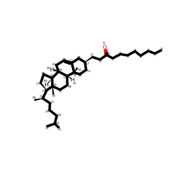 CCCCCCCCC(=O)CC[C@H]1CC[C@@]2(C)C(=CC[C@H]3[C@@H]4CC[C@H]([C@H](C)CCCC(C)C)[C@@]4(C)CC[C@@H]32)C1